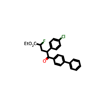 CCOC(=O)C(F)CC(C(=O)c1ccc(-c2ccccc2)cc1)c1ccc(Cl)cc1